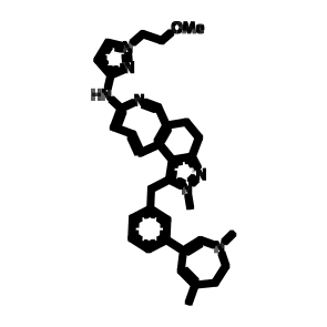 COCCn1ccc(NC2=C/C=C/C3=C(/C=N\2)CCc2nn(C)c(Cc4cccc(C5=CN(C)CCC(C)=C5)c4)c23)n1